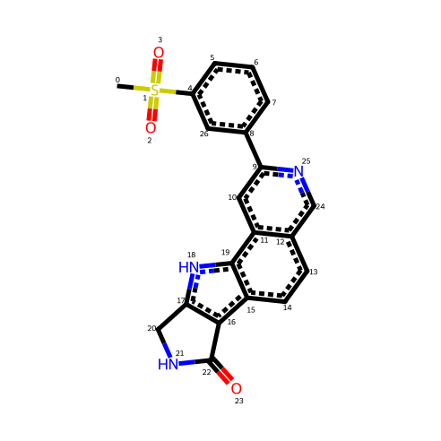 CS(=O)(=O)c1cccc(-c2cc3c(ccc4c5c([nH]c43)CNC5=O)cn2)c1